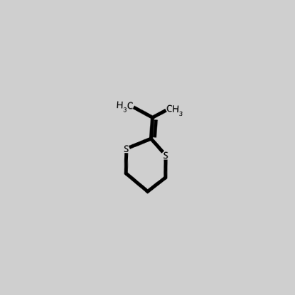 CC(C)=C1SCCCS1